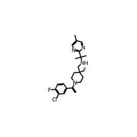 C=C(c1ccc(F)c(Cl)c1)N1CCC(F)(CNC(C)(C)c2ncc(C)cn2)CC1